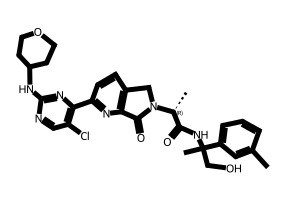 Cc1cccc(C(C)(CO)NC(=O)[C@@H](C)N2Cc3ccc(-c4nc(NC5CCOCC5)ncc4Cl)nc3C2=O)c1